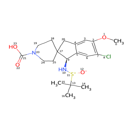 COc1cc2c(cc1Cl)[C@@H](N[S@+]([O-])C(C)(C)C)C1(CCN(C(=O)O)CC1)C2